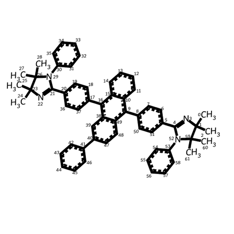 CC1(C)N=C(c2ccc(-c3c4ccccc4c(-c4ccc(C5=NC(C)(C)C(C)(C)N5c5ccccc5)cc4)c4cc(-c5ccccc5)ccc34)cc2)N(c2ccccc2)C1(C)C